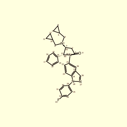 O=C1C[C@H](N(CC2CC2)CC2CC2)[C@@H](c2ccccc2)N1c1ccc2c(cnn2-c2ccc(F)cc2)c1